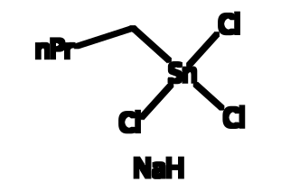 CCC[CH2][Sn]([Cl])([Cl])[Cl].[NaH]